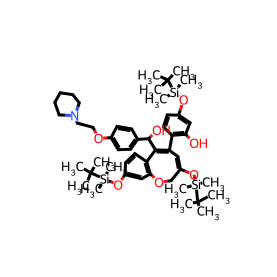 CC(C)(C)[Si](C)(C)OC1=CC(c2ccc(O[Si](C)(C)C(C)(C)C)cc2O)=C(C(O)c2ccc(OCCN3CCCCC3)cc2)c2ccc(O[Si](C)(C)C(C)(C)C)cc2OC1